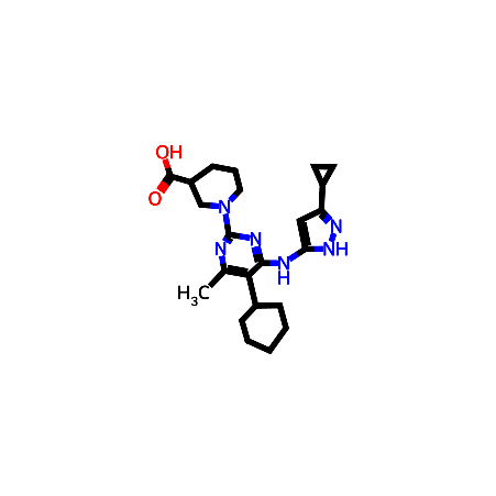 Cc1nc(N2CCCC(C(=O)O)C2)nc(Nc2cc(C3CC3)n[nH]2)c1C1CCCCC1